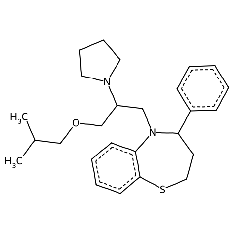 CC(C)COCC(CN1c2ccccc2SCCC1c1ccccc1)N1CCCC1